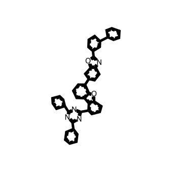 c1ccc(-c2cccc(-c3nc4ccc(-c5cccc6c5oc5cccc(-c7nc(-c8ccccc8)nc(-c8ccccc8)n7)c56)cc4o3)c2)cc1